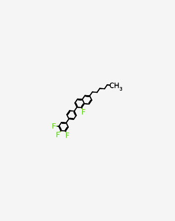 CCCCCCc1ccc2c(F)c(-c3ccc(-c4cc(F)c(F)c(F)c4)cc3)ccc2c1